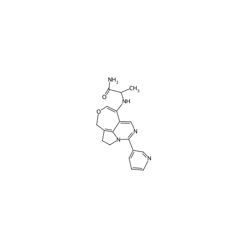 CC(NC1=COCC2=C3C1=CN=C(c1cccnc1)N3CC2)C(N)=O